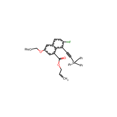 C=CCOC(=O)c1cc(OCOC)cc2ccc(F)c(C#C[Si](C(C)C)(C(C)C)C(C)C)c12